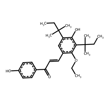 CCOc1c(C=CC(=O)c2ccc(O)cc2)cc(C(C)(C)CC)c(O)c1C(C)(C)CC